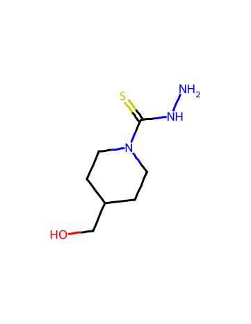 NNC(=S)N1CCC(CO)CC1